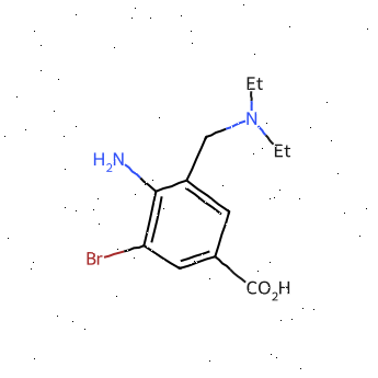 CCN(CC)Cc1cc(C(=O)O)cc(Br)c1N